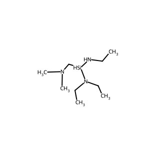 CCN[SiH](CN(C)C)N(CC)CC